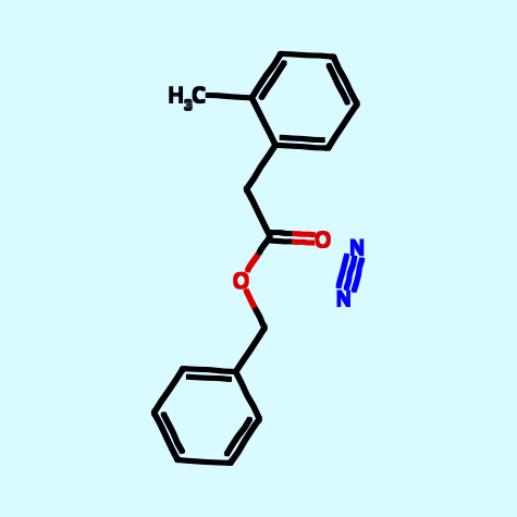 Cc1ccccc1CC(=O)OCc1ccccc1.N#N